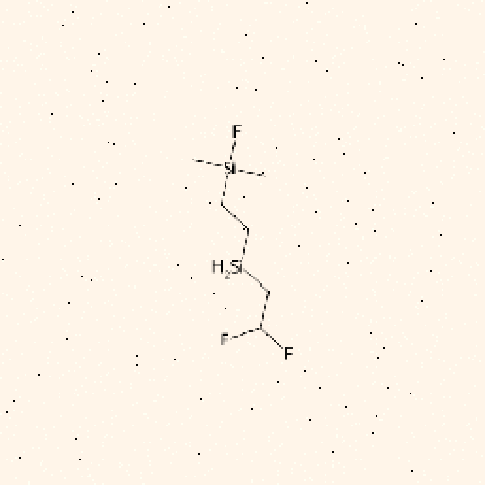 C[Si](C)(F)CC[SiH2]CC(F)F